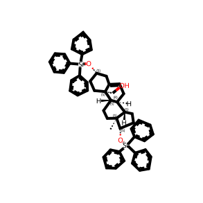 C[C@]12CC[C@H]3[C@@H](CC=C4C[C@@H](O[Si](c5ccccc5)(c5ccccc5)c5ccccc5)CC[C@@]43CO)[C@@H]1CC[C@@H]2O[Si](c1ccccc1)(c1ccccc1)c1ccccc1